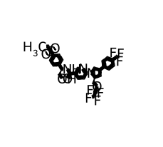 CCS(=O)(=O)c1ccc([C@H](CO)NC(=O)c2ccc(N3CC(c4ccc(C(F)(F)F)cc4)C[C@H]3COC(F)(F)C(F)F)nc2)cc1